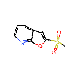 CS(=O)(=O)c1[c]c2cccnc2o1